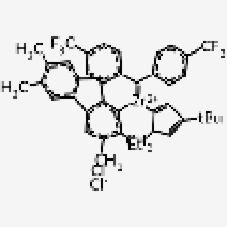 CCC1C=C(C(C)(C)C)C=[C]1[Zr+2](=[C](c1ccc(C(F)(F)F)cc1)c1ccc(C(F)(F)F)cc1)[c]1c(C)c(C)cc2c1Cc1cc(C)c(C)cc1-2.[Cl-].[Cl-]